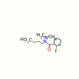 CN(C)N(CCCC(=O)O)C(=O)c1ccccc1F